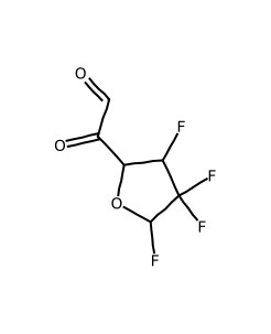 O=CC(=O)C1OC(F)C(F)(F)C1F